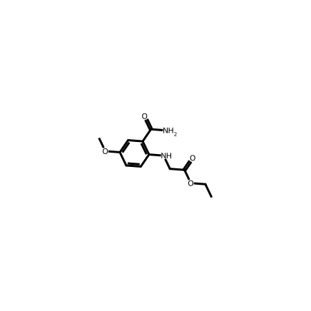 CCOC(=O)CNc1ccc(OC)cc1C(N)=O